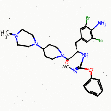 CN1CCN(C2CCN(C(=O)[C@@H](Cc3cc(Br)c(N)c(Br)c3)N/C(=N\C#N)Oc3ccccc3)CC2)CC1